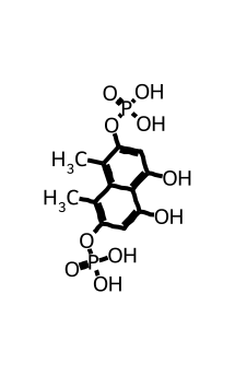 Cc1c(OP(=O)(O)O)cc(O)c2c(O)cc(OP(=O)(O)O)c(C)c12